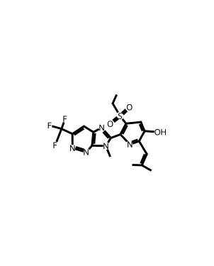 CCS(=O)(=O)c1cc(O)c(C=C(C)C)nc1-c1nc2cc(C(F)(F)F)nnc2n1C